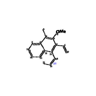 C=Cc1c(OC)c(C)c2ccccc2c1/C=C\C